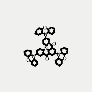 O=c1c2cc(N3c4ccccc4Oc4ccccc43)ccc2n2c3ccc(N4c5ccccc5Oc5ccccc54)cc3c(=O)c3cc(N4c5ccccc5Oc5ccccc54)cc1c32